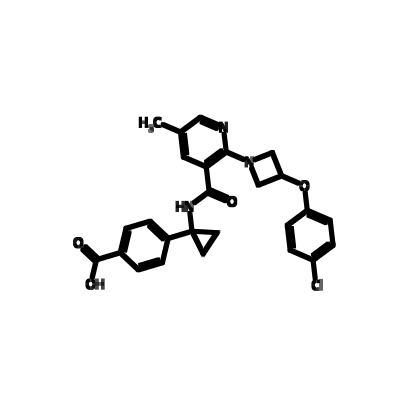 Cc1cnc(N2CC(Oc3ccc(Cl)cc3)C2)c(C(=O)NC2(c3ccc(C(=O)O)cc3)CC2)c1